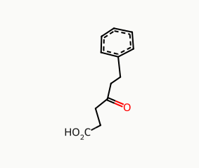 O=C(O)CCC(=O)CCc1ccccc1